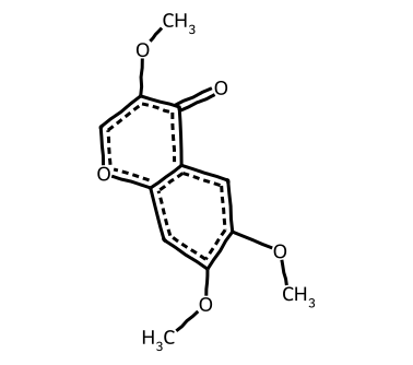 COc1cc2occ(OC)c(=O)c2cc1OC